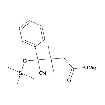 COC(=O)CC(C)(C)C(C#N)(O[Si](C)(C)C)c1ccccc1